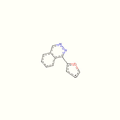 c1coc(-c2nncc3ccccc23)c1